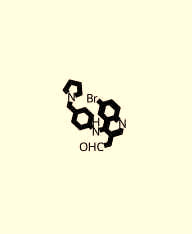 O=CCc1cnc2ccc(Br)cc2c1NC1CCC(CN2CCCC2)CC1